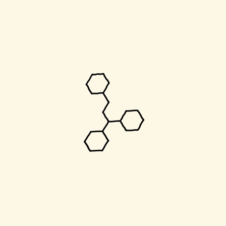 C1CCC(CCC(C2CCCCC2)C2CCCCC2)CC1